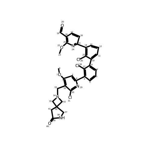 COc1cc(-c2cccc(-c3cccc(-c4ccc(C=O)c(OC)n4)c3Cl)c2Cl)nc(Cl)c1CN1CC2(CNC(=O)C2)C1